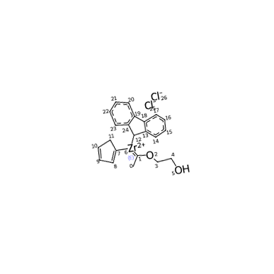 C/[C](OCCO)=[Zr+2](\[C]1=CC=CC1)[CH]1c2ccccc2-c2ccccc21.[Cl-].[Cl-]